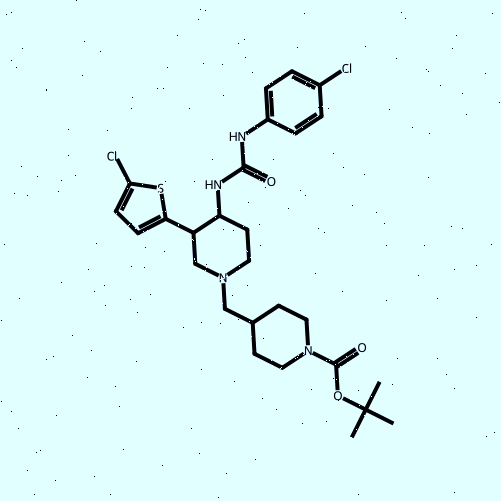 CC(C)(C)OC(=O)N1CCC(CN2CCC(NC(=O)Nc3ccc(Cl)cc3)C(c3ccc(Cl)s3)C2)CC1